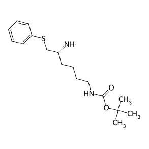 CC(C)(C)OC(=O)NCCCC[C@@H]([NH])CSc1ccccc1